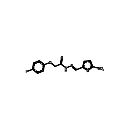 O=C(COc1ccc(F)cc1)N/N=C/c1ccc([N+](=O)[O-])o1